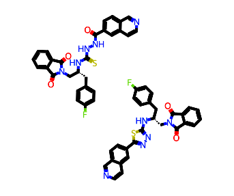 O=C(NNC(=S)N[C@H](Cc1ccc(F)cc1)CN1C(=O)c2ccccc2C1=O)c1ccc2cnccc2c1.O=C1c2ccccc2C(=O)N1C[C@@H](Cc1ccc(F)cc1)Nc1nnc(-c2ccc3cnccc3c2)s1